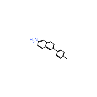 Cc1ccc(-c2ccc3cc(N)ccc3c2)cc1